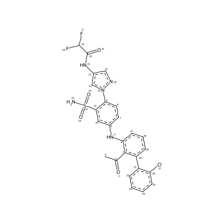 CC(=O)c1c(Nc2ccc(-n3cc(NC(=O)C(F)F)cn3)c(S(N)(=O)=O)c2)cccc1-c1ccccc1Cl